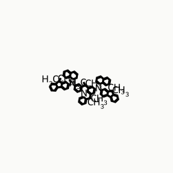 CC1(C)c2ccccc2-c2ccc(N(c3cc4c5c(c3)C(C)(C)c3cc(N(c6ccc7c(c6)C(C)(C)c6ccccc6-7)C6CC=Cc7ccccc76)ccc3N5c3ccccc3C4(C)C)c3cccc4ccccc34)cc21